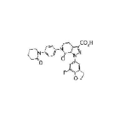 O=C(O)c1nn(-c2cc(F)c3c(c2)CCO3)c2c1CCN(c1ccc(N3CCCCC3=O)cc1)C2=O